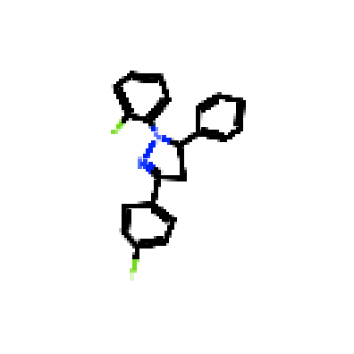 Fc1ccc(C2=NN(c3ccccc3F)C(c3ccccc3)C2)cc1